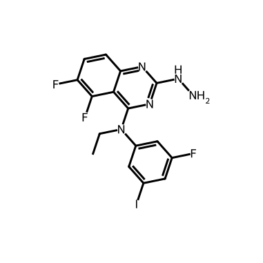 CCN(c1cc(F)cc(I)c1)c1nc(NN)nc2ccc(F)c(F)c12